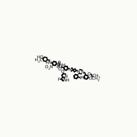 CC(C)c1ccccc1[C@@H]1CN(Cc2cccc3c2OCC(C)(C)O3)CCN1C1CC2(C1)CN(c1ccc(C(=O)NS(=O)(=O)c3ccc(NCC4CCC(C)(O)CC4)c([N+](=O)[O-])c3)c(Oc3cnc4[nH]cc(F)c4c3)c1)C2